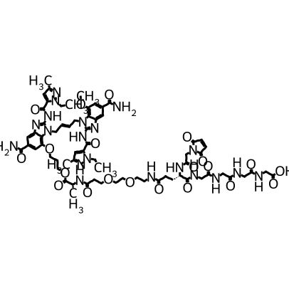 CCn1nc(C)cc1C(=O)Nc1nc2cc(C(N)=O)cc(OC)c2n1C/C=C/Cn1c(NC(=O)c2cc(C)nn2CC)nc2cc(C(N)=O)cc(OCCCOC(=O)[C@H](C)NC(=O)CCOCCOCCNC(=O)CC[C@H](NC(=O)CN3C(=O)C=CC3=O)C(=O)NCC(=O)NCC(=O)NCC(=O)NCC(=O)O)c21